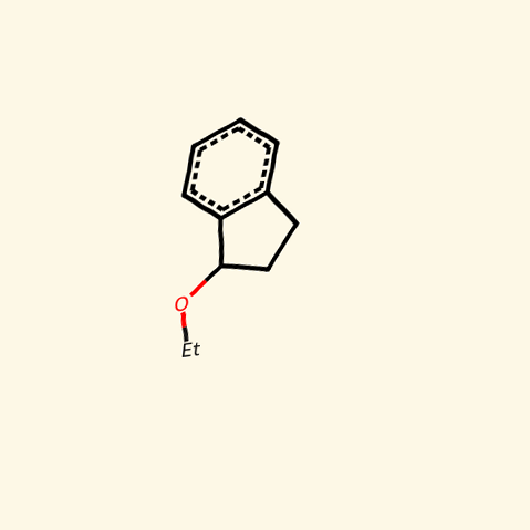 CCOC1CCc2ccccc21